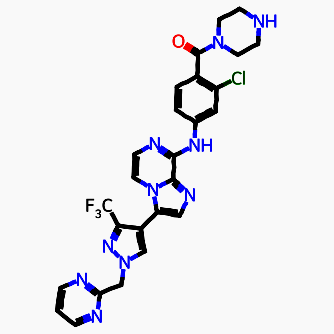 O=C(c1ccc(Nc2nccn3c(-c4cn(Cc5ncccn5)nc4C(F)(F)F)cnc23)cc1Cl)N1CCNCC1